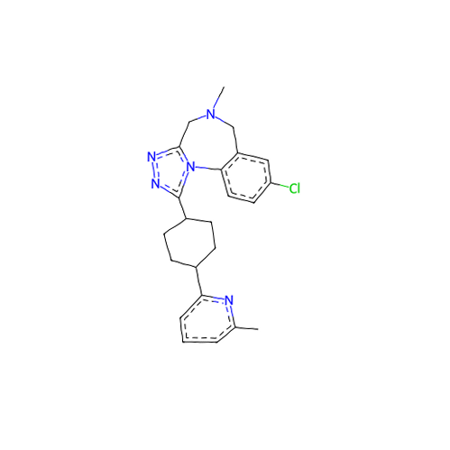 Cc1cccc(C2CCC(c3nnc4n3-c3ccc(Cl)cc3CN(C)C4)CC2)n1